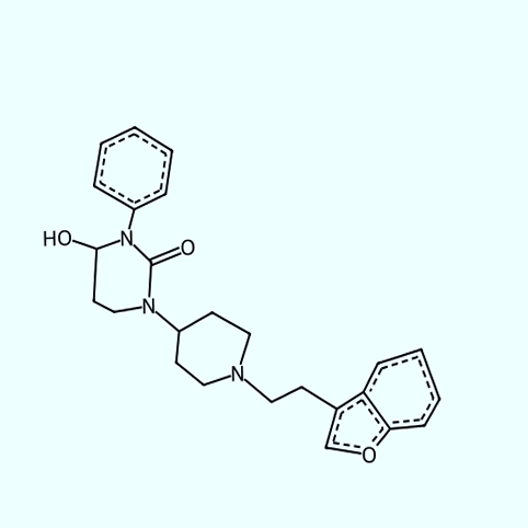 O=C1N(C2CCN(CCc3coc4ccccc34)CC2)CCC(O)N1c1ccccc1